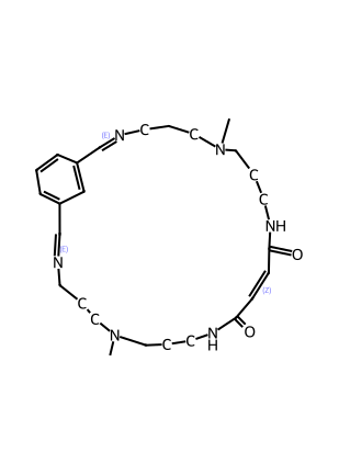 CN1CCC/N=C/c2cccc(c2)/C=N/CCCN(C)CCCNC(=O)/C=C\C(=O)NCCC1